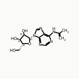 C=C(C)Nc1ncnc2c1ncn2[C@@H]1O[C@H](CO)[C@@H](O)[C@H]1O